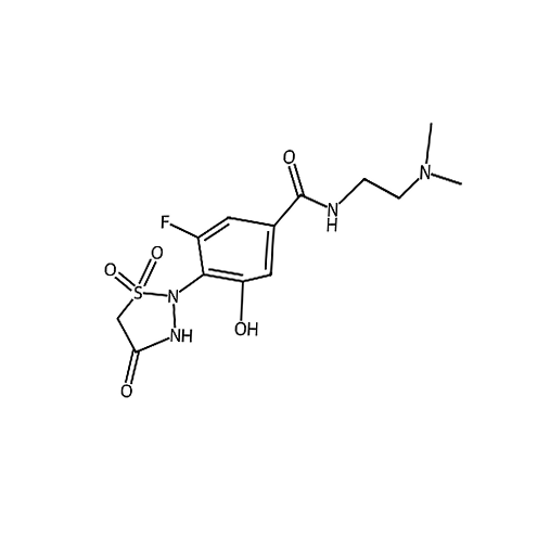 CN(C)CCNC(=O)c1cc(O)c(N2NC(=O)CS2(=O)=O)c(F)c1